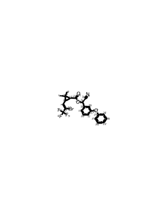 CC1(C)C(C=C(Br)C(F)(F)F)C1C(=O)OC(C#N)c1cccc(Oc2ccccc2)c1